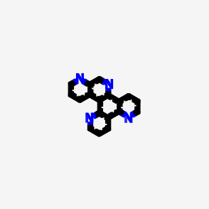 c1cnc2c(c1)c1ncccc1c1ncc3ncccc3c21